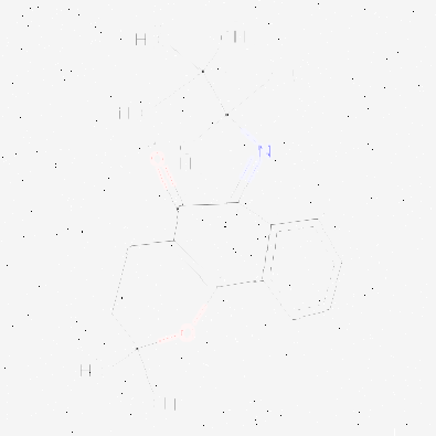 CC1(C)CCC2=C(O1)c1ccccc1/C(=N/C(C)(C)C(C)(C)C)C2=O